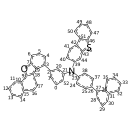 c1cc(-c2cccc3oc4c5ccccc5ccc4c23)cc(N(c2ccc(-c3cccc4ccccc34)cc2)c2ccc3c(c2)sc2ccccc23)c1